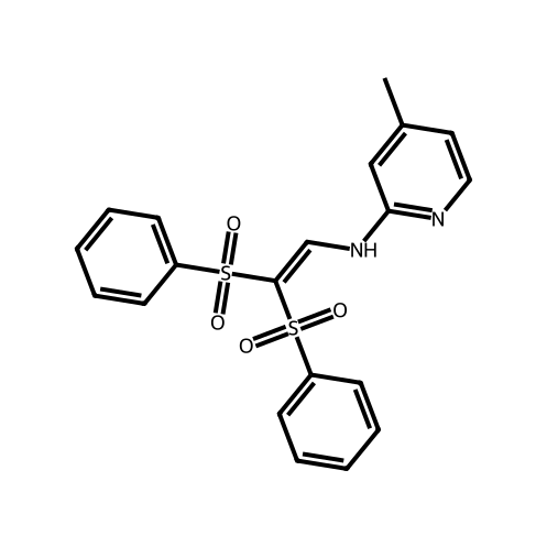 Cc1ccnc(NC=C(S(=O)(=O)c2ccccc2)S(=O)(=O)c2ccccc2)c1